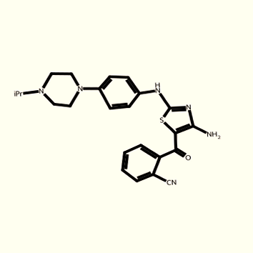 CC(C)N1CCN(c2ccc(Nc3nc(N)c(C(=O)c4ccccc4C#N)s3)cc2)CC1